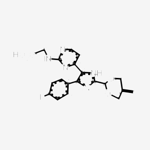 C=C1COC(c2nc(-c3ccc(F)cc3)c(-c3ccnc(NCC(=O)O)n3)[nH]2)OC1